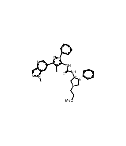 COCCN1C[C@@H](NC(=O)Nc2c(C)c(-c3cnc4cnn(C)c4c3)nn2-c2ccccc2)[C@H](c2ccccc2)C1